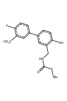 CC(C)(C)OC(=O)NCc1cc(-c2ccc(F)c(C(=O)O)c2)ccc1O